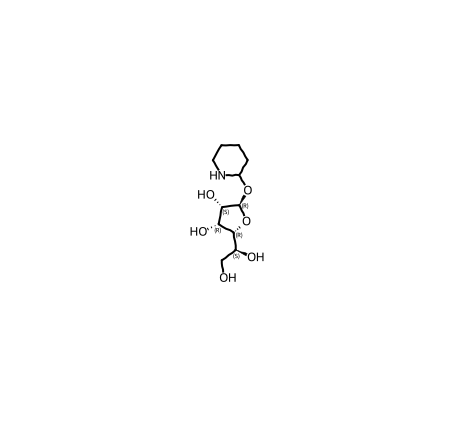 OC[C@H](O)[C@H]1O[C@H](OC2CCCCN2)[C@@H](O)[C@H]1O